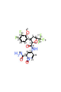 COc1c([C@H]2C[C@@](C)(C(F)(F)F)OC2C(=O)NC2=C[C@@H](C(N)=O)[N+](=O)C=C2)ccc(F)c1F